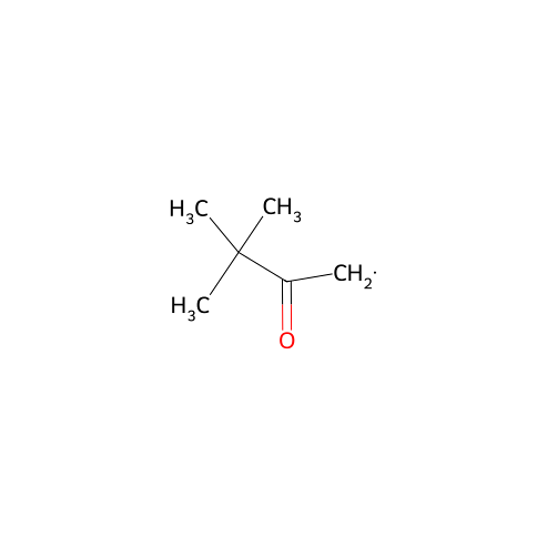 [CH2]C(=O)C(C)(C)C